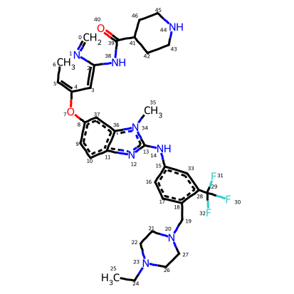 C=N/C(=C\C(=C/C)Oc1ccc2nc(Nc3ccc(CN4CCN(CC)CC4)c(C(F)(F)F)c3)n(C)c2c1)NC(=O)C1CCNCC1